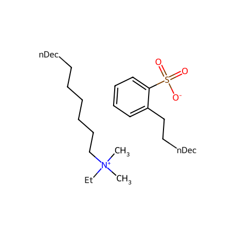 CCCCCCCCCCCCCCCC[N+](C)(C)CC.CCCCCCCCCCCCc1ccccc1S(=O)(=O)[O-]